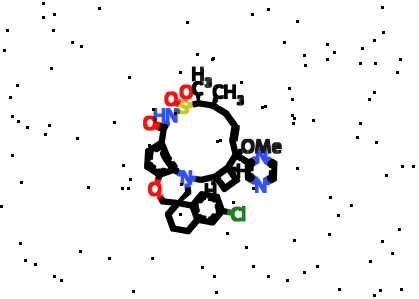 CO[C@]1(c2cnccn2)/C=C/C[C@H](C)[C@@H](C)S(=O)(=O)NC(=O)c2ccc3c(c2)N(C[C@@H]2CC[C@H]21)C[C@@]1(CCCc2cc(Cl)ccc21)CO3